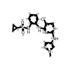 Cn1cc(Nc2ncc(Cl)c(Nc3ccccc3NS(=O)(=O)C3CC3)n2)cn1